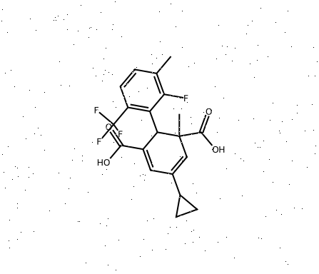 Cc1ccc(C(F)(F)F)c(C2C(C(=O)O)=CC(C3CC3)=CC2(C)C(=O)O)c1F